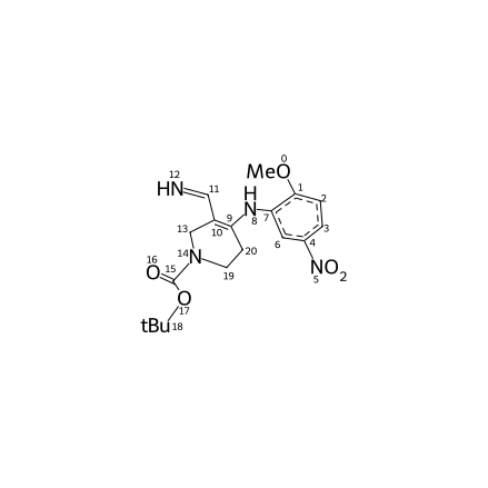 COc1ccc([N+](=O)[O-])cc1NC1=C(C=N)CN(C(=O)OC(C)(C)C)CC1